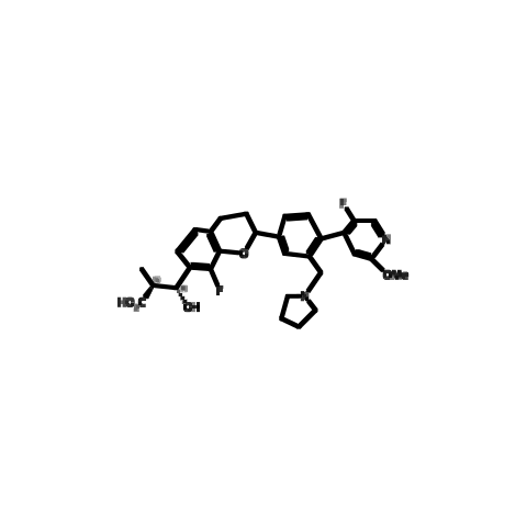 COc1cc(-c2ccc(C3CCc4ccc([C@H](O)[C@H](C)C(=O)O)c(F)c4O3)cc2CN2CCCC2)c(F)cn1